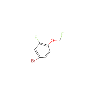 FCOc1ccc(Br)cc1F